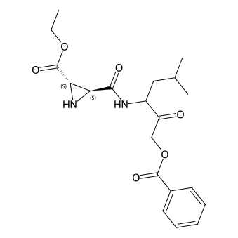 CCOC(=O)[C@H]1N[C@@H]1C(=O)NC(CC(C)C)C(=O)COC(=O)c1ccccc1